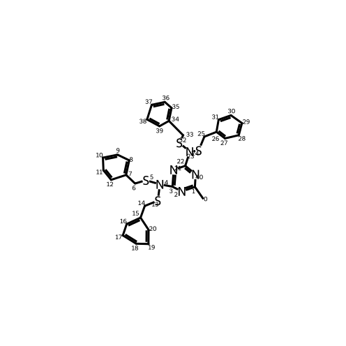 Cc1nc(N(SCc2ccccc2)SCc2ccccc2)nc(N(SCc2ccccc2)SCc2ccccc2)n1